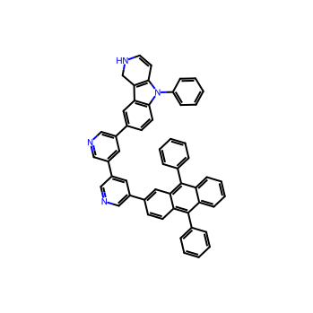 C1=Cc2c(c3cc(-c4cncc(-c5cncc(-c6ccc7c(-c8ccccc8)c8ccccc8c(-c8ccccc8)c7c6)c5)c4)ccc3n2-c2ccccc2)CN1